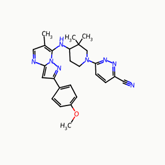 COc1ccc(-c2cc3ncc(C)c(NC4CCN(c5ccc(C#N)nn5)CC4(C)C)n3n2)cc1